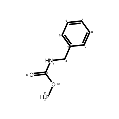 O=C(NCc1ccccc1)OP